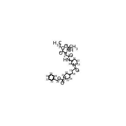 CCOC(=O)[C@H](CC(=O)NC1CCCN(C(=O)CCC2CCN(C(=O)OCc3ccccc3)CC2)C1)NC(C)=O